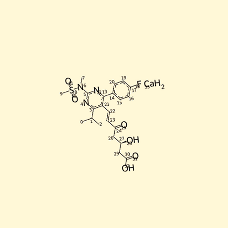 CC(C)c1nc(N(C)S(C)(=O)=O)nc(-c2ccc(F)cc2)c1/C=C/C(=O)C[C@@H](O)CC(=O)O.[CaH2]